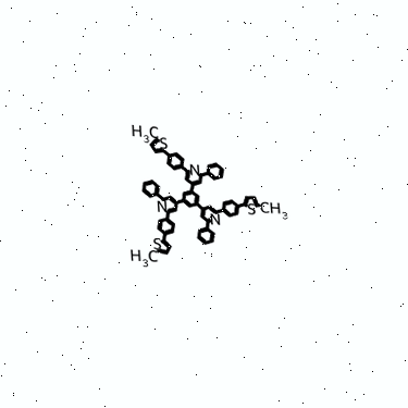 Cc1ccc(-c2ccc(-c3cc(-c4cc(-c5cc(-c6ccccc6)nc(-c6ccc(-c7ccc(C)s7)cc6)c5)cc(-c5cc(-c6ccccc6)nc(-c6ccc(-c7ccc(C)s7)cc6)c5)c4)cc(-c4ccccc4)n3)cc2)s1